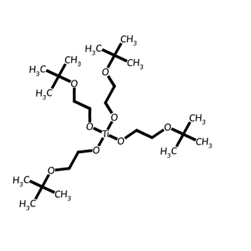 CC(C)(C)OCC[O][Ti]([O]CCOC(C)(C)C)([O]CCOC(C)(C)C)[O]CCOC(C)(C)C